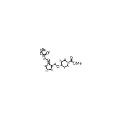 COC(=O)[C@H]1CC[C@H](OC[C@H]2CCCN2OCC(=O)OC(C)(C)C)CC1